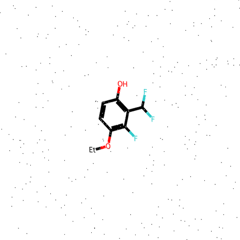 CCOc1ccc(O)c(C(F)F)c1F